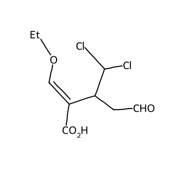 CCOC=C(C(=O)O)C(CC=O)C(Cl)Cl